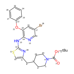 CC(C)(C)OC(=O)N1CCC(Cc2csc(Nc3ncc(Br)cc3Oc3ccccc3)n2)CC1